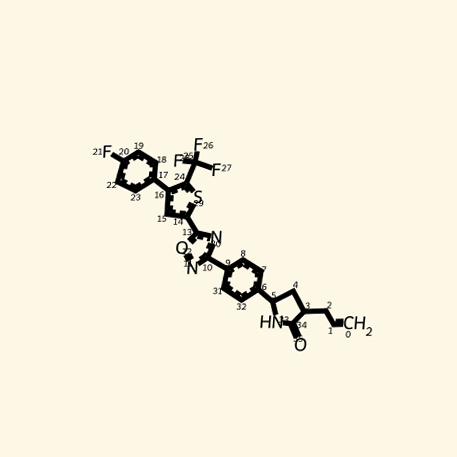 C=CCC1CC(c2ccc(-c3noc(-c4cc(-c5ccc(F)cc5)c(C(F)(F)F)s4)n3)cc2)NC1=O